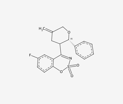 C=C1CO[C@H](c2ccccc2)C(C2=NS(=O)(=O)Oc3ccc(F)cc32)C1